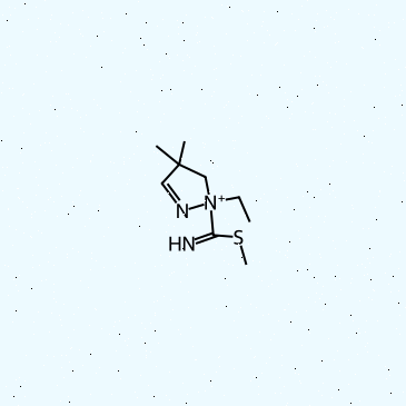 CC[N+]1(C(=N)SC)CC(C)(C)C=N1